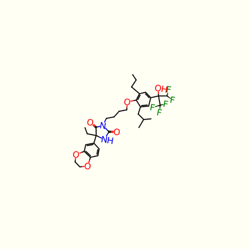 CCCc1cc(C(O)(C(F)F)C(F)(F)F)cc(CC(C)C)c1OCCCCN1C(=O)NC(CC)(c2ccc3c(c2)OCCO3)C1=O